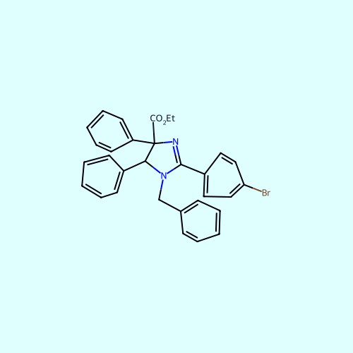 CCOC(=O)C1(c2ccccc2)N=C(c2ccc(Br)cc2)N(Cc2ccccc2)C1c1ccccc1